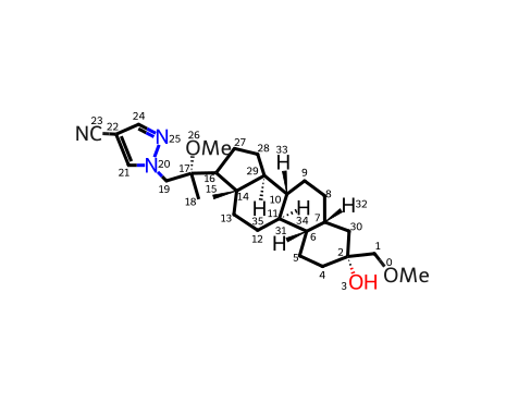 COC[C@@]1(O)CC[C@H]2[C@H](CC[C@@H]3[C@@H]2CC[C@]2(C)C([C@@](C)(Cn4cc(C#N)cn4)OC)CC[C@@H]32)C1